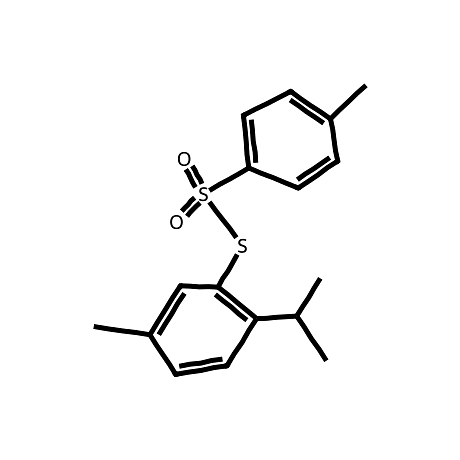 Cc1ccc(S(=O)(=O)Sc2cc(C)ccc2C(C)C)cc1